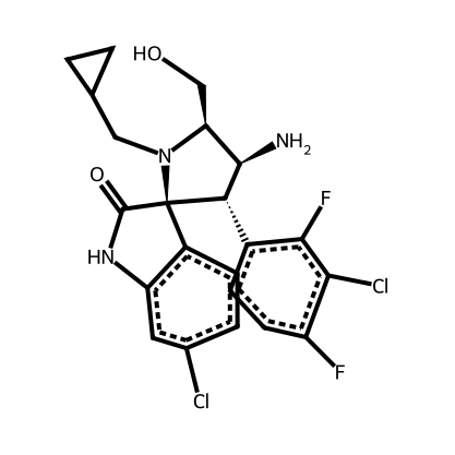 N[C@@H]1[C@H](CO)N(CC2CC2)[C@@]2(C(=O)Nc3cc(Cl)ccc32)[C@H]1c1ccc(F)c(Cl)c1F